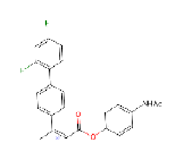 CC(=O)Nc1ccc(OC(=O)/C=C(/C)c2ccc(-c3ccc(F)cc3F)cc2)cc1